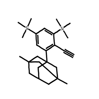 C#Cc1c(C23CC4CC(C)(CC(C)(C4)C2)C3)cc([Si](C)(C)C)cc1[Si](C)(C)C